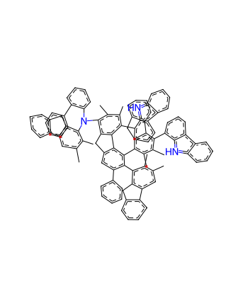 Cc1cc2c(c(-c3c(-c4ccccc4)cc4c(c3-c3c(C)c(C)c(-c5cccc6c5[nH]c5ccccc56)c5c3Cc3ccccc3-5)-c3c(c(N(c5ccccc5-c5ccccc5)c5c(C)c(C)cc6c5Cc5ccccc5-6)c(C)c(C)c3-c3cccc5c3[nH]c3ccccc35)C4)c1C)Cc1ccccc1-2